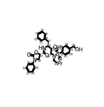 CC(C)CN(C[C@@H](O)[C@H](Cc1ccccc1)NC(=O)[C@@H]1CN(c2ccccc2)C(=O)O1)S(=O)(=O)c1ccc(CO)cc1